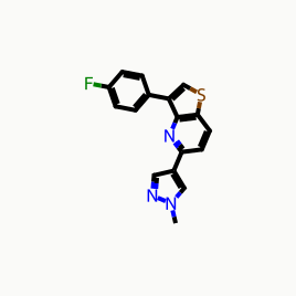 Cn1cc(-c2ccc3scc(-c4ccc(F)cc4)c3n2)cn1